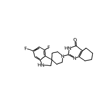 O=c1[nH]c(N2CCC3(CC2)CNc2cc(F)cc(F)c23)nc2c1CCCC2